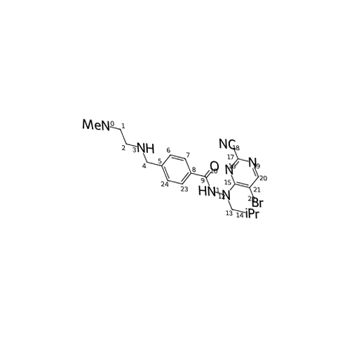 CNCCNCc1ccc(C(=O)NN(CC(C)C)c2nc(C#N)ncc2Br)cc1